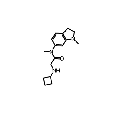 CN1CCc2ccc(N(C)C(=O)CNC3CCC3)cc21